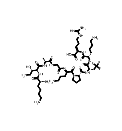 C[C@H](NC(=O)[C@@H](NC(=O)[C@@H](N)CCCCN)[C@@H](O)CN)C(=O)NCC(=O)/N=C(\CCCN)C(=O)N1CCC[C@H]1C(=O)N[C@@H](CC(F)(F)F)C(=O)N[C@@H](CCCCN)C(=O)N/C(=C\CCNC(=N)N)C(=O)O